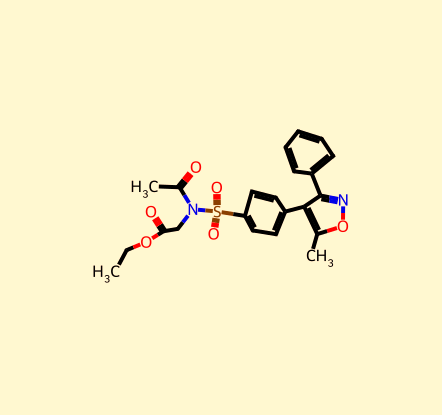 CCOC(=O)CN(C(C)=O)S(=O)(=O)c1ccc(-c2c(-c3ccccc3)noc2C)cc1